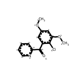 COc1cc(OC)c(Cl)c(C(=O)c2ccccn2)c1